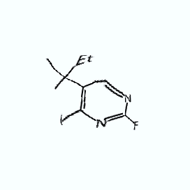 CCC(C)(C)c1cnc(F)nc1I